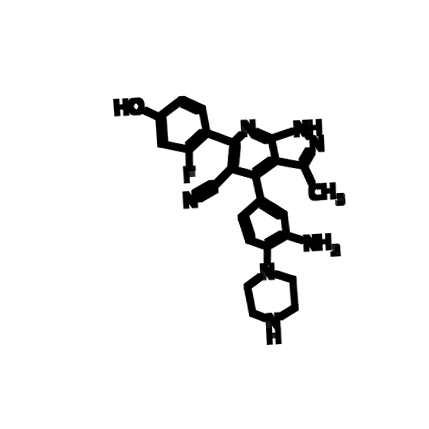 Cc1n[nH]c2nc(-c3ccc(O)cc3F)c(C#N)c(-c3ccc(N4CCNCC4)c(N)c3)c12